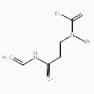 C=CNC(=C)CCN(C(=O)CC)C(C)C